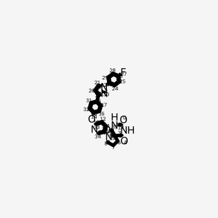 O=C1NC(=O)C2(CCCN2c2ccc(Oc3ccc(-c4ccn(-c5ccc(F)cc5)n4)cc3)nc2)C(=O)N1